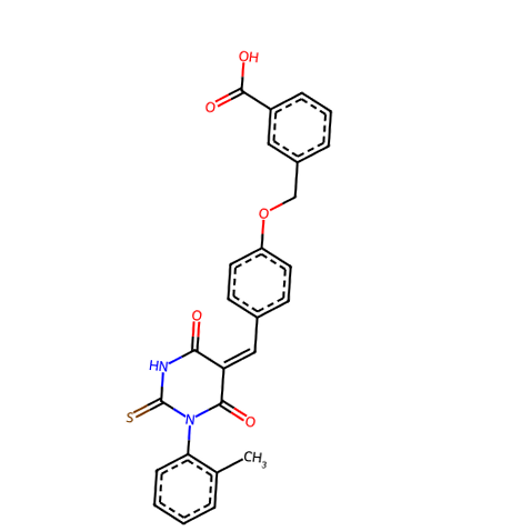 Cc1ccccc1N1C(=O)C(=Cc2ccc(OCc3cccc(C(=O)O)c3)cc2)C(=O)NC1=S